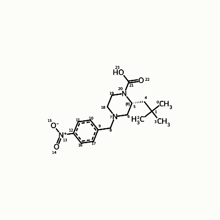 CC(C)(C)C[C@@H]1CN(Cc2ccc([N+](=O)[O-])cc2)CCN1C(=O)O